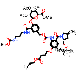 C=CCOC(=O)CCCOc1cc(NC(=O)OCc2ccc(O[C@@H]3O[C@H](C(=O)OC)[C@@H](OC(C)=O)[C@H](OC(C)=O)[C@H]3OC(C)=O)c(C(=O)NCCCNC(=O)OC(C)(C)C)c2)c(C(=O)N2CC(=C)C[C@H]2CO[Si](C)(C)C(C)(C)C)cc1OC